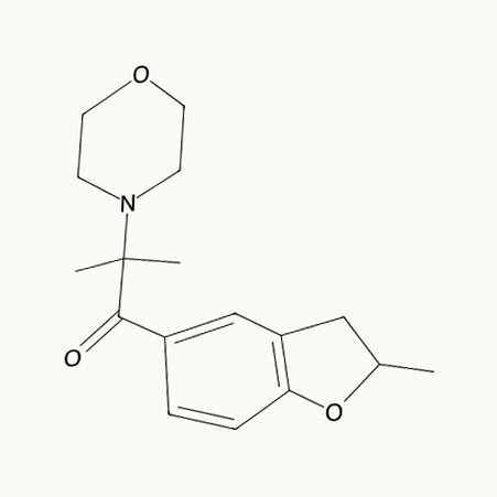 CC1Cc2cc(C(=O)C(C)(C)N3CCOCC3)ccc2O1